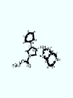 CC(C)(C)OC(=O)N1C[C@@H](Nc2nc3cnccc3s2)[C@H](c2ccccc2)C1